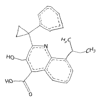 CC(C)c1cccc2c(C(=O)O)c(O)c(C3(c4ccccc4)CC3)nc12